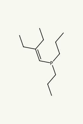 CCCP(C=C(CC)CC)CCC